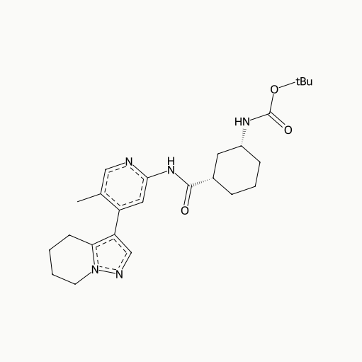 Cc1cnc(NC(=O)[C@H]2CCC[C@@H](NC(=O)OC(C)(C)C)C2)cc1-c1cnn2c1CCCC2